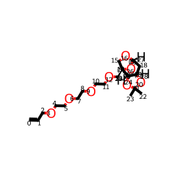 C=CCOCCOCCOCCOC[C@]12CO[C@H](C[C@H]3OC(C)(C)O[C@H]31)O2